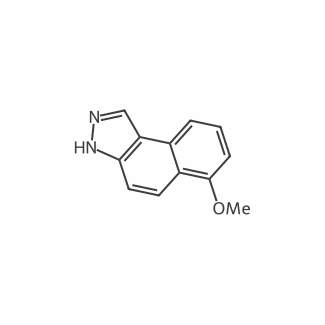 COc1cccc2c1ccc1[nH]ncc12